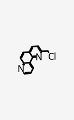 ClCc1ccc2ccc3ncccc3c2n1